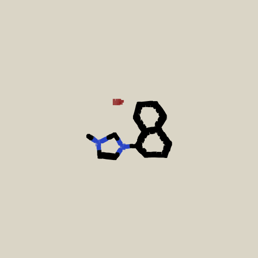 Br.CN1C=CN(c2cccc3ccccc23)C1